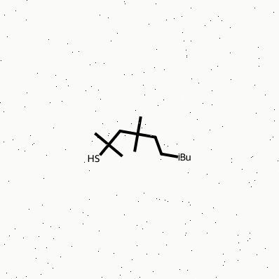 CCC(C)CCC(C)(C)CC(C)(C)S